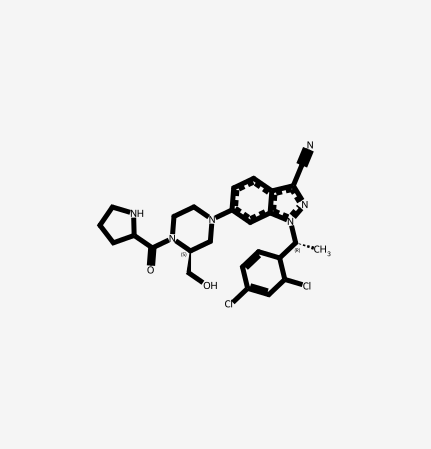 C[C@H](C1C=CC(Cl)=CC1Cl)n1nc(C#N)c2ccc(N3CCN(C(=O)C4CCCN4)[C@H](CO)C3)cc21